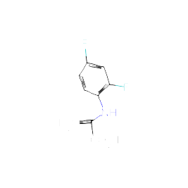 C=C(Nc1ccc(F)cc1F)C(=O)O